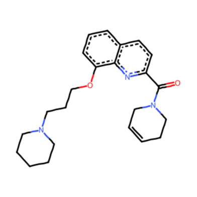 O=C(c1ccc2cccc(OCCCN3CCCCC3)c2n1)N1CC=CCC1